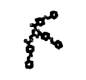 O=C(OCC(COC(=O)c1ccc(OCc2ccccc2)cc1)OC(=O)c1ccc(OCc2ccccc2)cc1)c1ccc(OCc2ccccc2)cc1